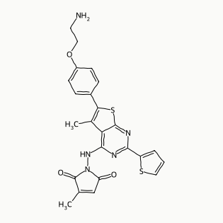 CC1=CC(=O)N(Nc2nc(-c3cccs3)nc3sc(-c4ccc(OCCN)cc4)c(C)c23)C1=O